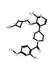 Nc1cc(OC(F)(F)F)ccc1C(=O)N1CCC(c2ccnc(N)c2NCC2CC(O)C2)CC1